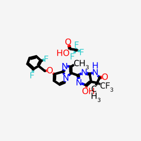 Cc1nc2c(OCc3c(F)cccc3F)cccn2c1-c1nc(O)c2c(n1)NC(=O)C2(C)C(F)(F)F.O=C(O)C(F)(F)F